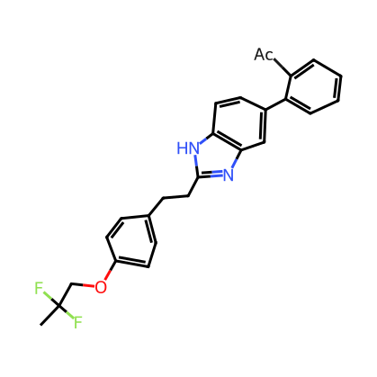 CC(=O)c1ccccc1-c1ccc2[nH]c(CCc3ccc(OCC(C)(F)F)cc3)nc2c1